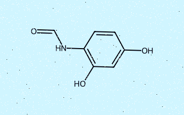 O=[C]Nc1ccc(O)cc1O